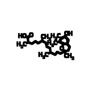 Cc1c(O)cc2c(c1C)OC(C)(CCCC(C)CCCC(C)CCCC(C)C(=O)O)CC2